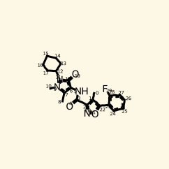 Cc1c(C(=O)Nc2c(C)n(C)n(C3CCCCC3)c2=O)noc1-c1ccccc1F